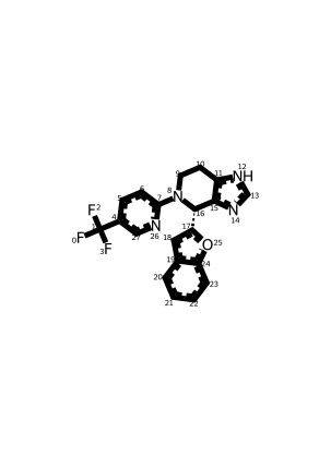 FC(F)(F)c1ccc(N2CCc3[nH]cnc3[C@@H]2c2cc3ccccc3o2)nc1